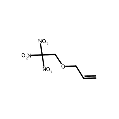 C=CCOCC([N+](=O)[O-])([N+](=O)[O-])[N+](=O)[O-]